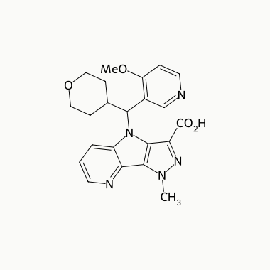 COc1ccncc1C(C1CCOCC1)n1c2cccnc2c2c1c(C(=O)O)nn2C